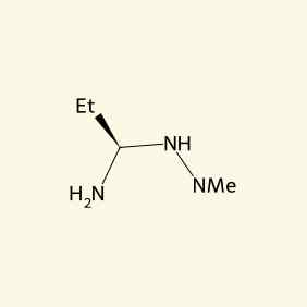 CC[C@H](N)NNC